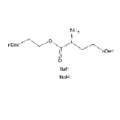 CCCCCCCCCCCCOC(=O)C(N)CCCCCCCCCCCC.[NaH].[NaH]